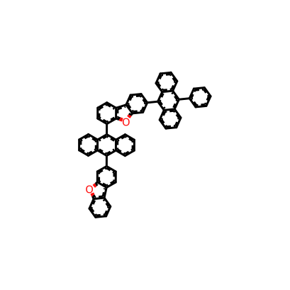 c1ccc(-c2c3ccccc3c(-c3ccc4c(c3)oc3c(-c5c6ccccc6c(-c6ccc7c(c6)oc6ccccc67)c6ccccc56)cccc34)c3ccccc23)cc1